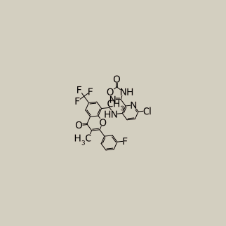 Cc1c(-c2cccc(F)c2)oc2c(C(C)Nc3ccc(Cl)nc3-c3noc(=O)[nH]3)cc(C(F)(F)F)cc2c1=O